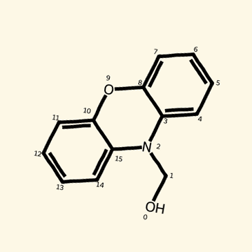 OCN1c2ccccc2Oc2ccccc21